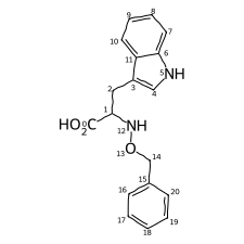 O=C(O)C(Cc1c[nH]c2ccccc12)NOCc1ccccc1